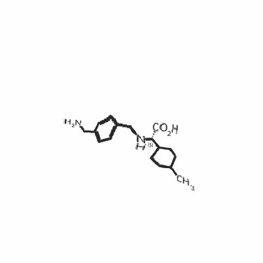 CC1CCC([C@H](NCc2ccc(CN)cc2)C(=O)O)CC1